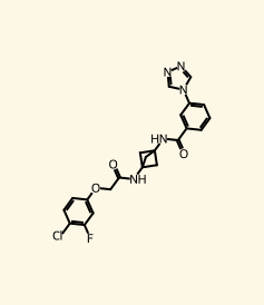 O=C(COc1ccc(Cl)c(F)c1)NC12CC(NC(=O)c3cccc(-n4cnnc4)c3)(C1)C2